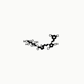 O=C(OC[C@H](O)[C@@H](O)[C@H](O)[C@@H](O)CO)c1ccc(CCC[C@@H]2[C@@H](CCc3cc(Cl)cc(Cl)c3)[C@H](O)C[C@H]2Cl)s1